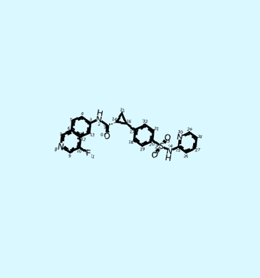 O=C(Nc1ccc2cncc(F)c2c1)[C@@H]1CC1c1ccc(S(=O)(=O)Nc2ccccn2)cc1